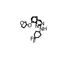 FC1(F)CCC(Nc2ncc3cccc(OC4CCOC4)c3n2)CC1